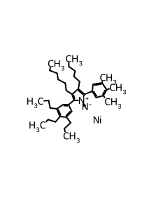 CCCCCCC1=C(c2cc(CCC)c(CCC)c(CCC)c2)[N+](=[N-])C(c2cc(C)c(C)c(C)c2)=C1CCCCC.[Ni]